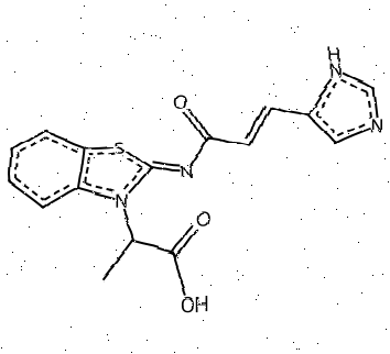 CC(C(=O)O)n1c(=NC(=O)C=Cc2cnc[nH]2)sc2ccccc21